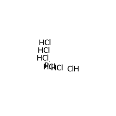 Cl.Cl.Cl.Cl.Cl.Cl.[P]